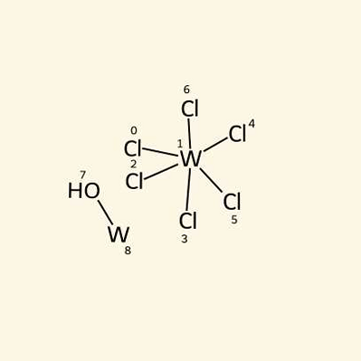 [Cl][W]([Cl])([Cl])([Cl])([Cl])[Cl].[OH][W]